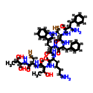 C[C@@H](O)[C@H](NC(=O)[C@H](CCCCN)NC(=O)[C@@H](Cc1c[nH]c2ccccc12)NC(=O)[C@H](Cc1ccccc1)NC(=O)[C@H](CS)NC(=O)[C@H](N)Cc1ccccc1)C(=O)N[C@@H](CS)C(=O)N[C@H](O)[C@@H](C)O